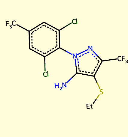 CCSc1c(C(F)(F)F)nn(-c2c(Cl)cc(C(F)(F)F)cc2Cl)c1N